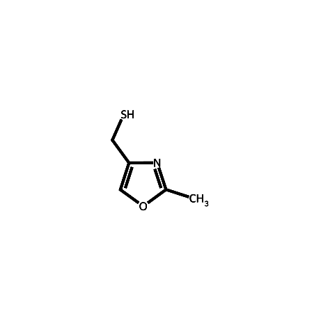 Cc1nc(CS)co1